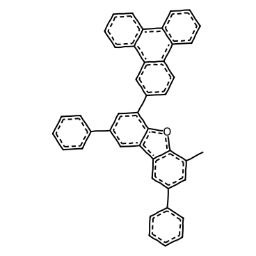 Cc1cc(-c2ccccc2)cc2c1oc1c(-c3ccc4c5ccccc5c5ccccc5c4c3)cc(-c3ccccc3)cc12